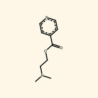 CN(C)CCOC(=O)c1ccncc1